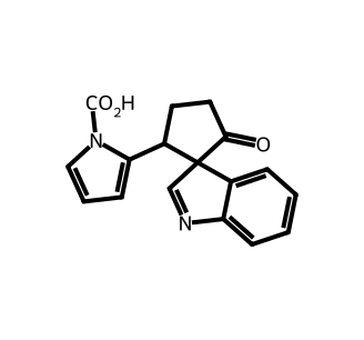 O=C(O)n1cccc1C1CCC(=O)C12C=Nc1ccccc12